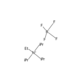 CC[N+](C(C)C)(C(C)C)C(C)C.F[B-](F)(F)F